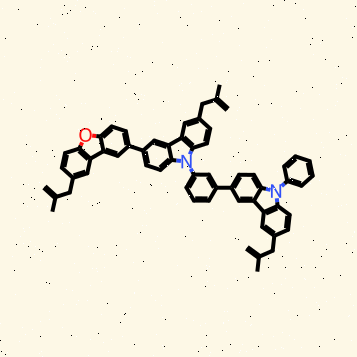 C=C(C)Cc1ccc2oc3ccc(-c4ccc5c(c4)c4cc(CC(=C)C)ccc4n5-c4cccc(-c5ccc6c(c5)c5cc(CC(=C)C)ccc5n6-c5ccccc5)c4)cc3c2c1